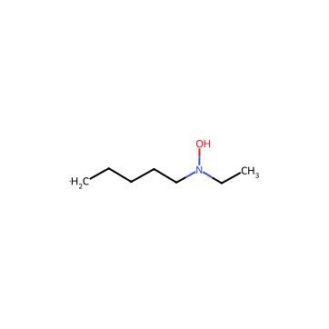 [CH2]CCCCN(O)CC